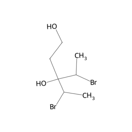 CC(Br)C(O)(CCO)C(C)Br